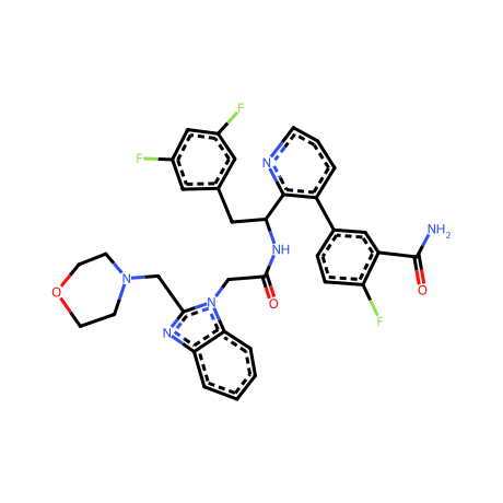 NC(=O)c1cc(-c2cccnc2C(Cc2cc(F)cc(F)c2)NC(=O)Cn2c(CN3CCOCC3)nc3ccccc32)ccc1F